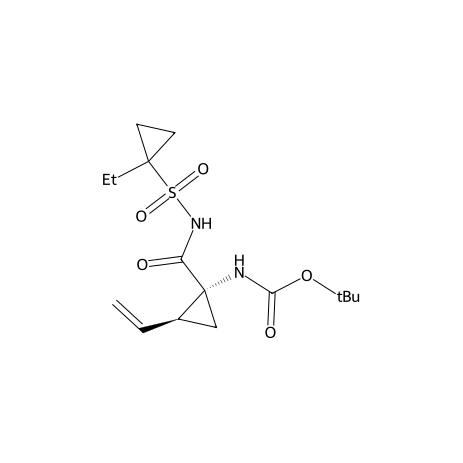 C=C[C@@H]1C[C@]1(NC(=O)OC(C)(C)C)C(=O)NS(=O)(=O)C1(CC)CC1